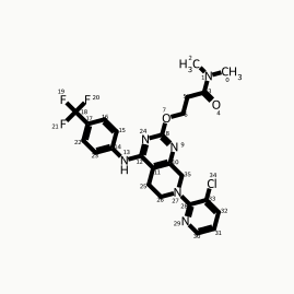 CN(C)C(=O)CCOc1nc2c(c(Nc3ccc(C(F)(F)F)cc3)n1)CCN(c1ncccc1Cl)C2